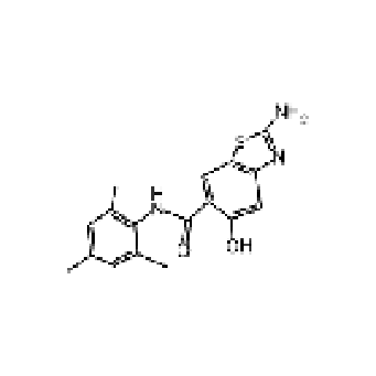 Cc1cc(C)c(NC(=O)c2cc3sc(N)nc3cc2O)c(C)c1